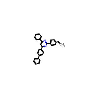 C=Cc1ccc(-c2nc(-c3ccccc3)cc(-c3ccc(-c4ccccc4)cc3)n2)cc1